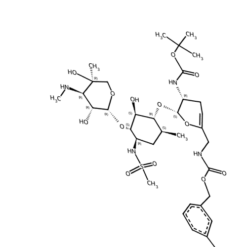 CN[C@@H]1[C@@H](O)[C@@H](O[C@@H]2[C@@H](O)[C@H](O[C@H]3OC(CNC(=O)OCc4cccc([N+](=O)[O-])c4)=CC[C@H]3NC(=O)OC(C)(C)C)[C@@H](C)C[C@H]2NS(C)(=O)=O)OC[C@]1(C)O